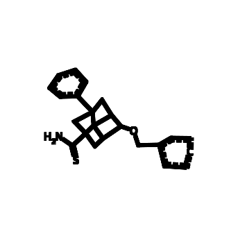 NC(=S)C12CC3C(OCc4ccccc4)C4CC(c5ccccc5)(C1)C342